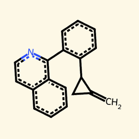 C=C1CC1c1ccccc1-c1nccc2ccccc12